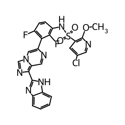 COc1ncc(Cl)cc1S(=O)(=O)Nc1ccc(F)c(-c2cn3cnc(-c4nc5ccccc5[nH]4)c3cn2)c1F